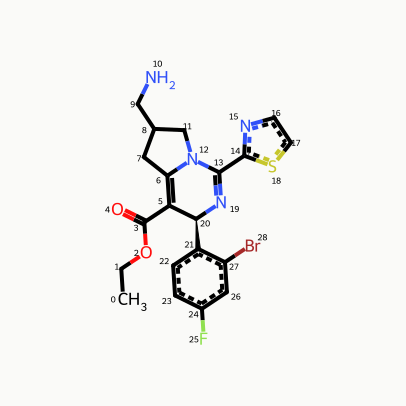 CCOC(=O)C1=C2CC(CN)CN2C(c2nccs2)=N[C@H]1c1ccc(F)cc1Br